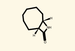 O=C1N[C@H]2CCCCCC[C@@H]12